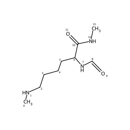 CNCCCCC(NC=O)C(=O)NC